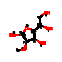 CO[C@@H]1[C@@H](O)[C@H]([C@H](O)CO)O[C@H]1O